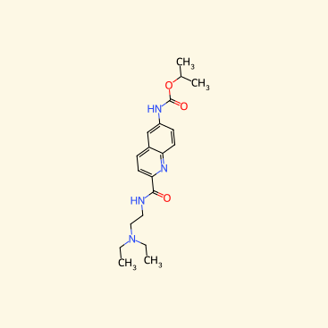 CCN(CC)CCNC(=O)c1ccc2cc(NC(=O)OC(C)C)ccc2n1